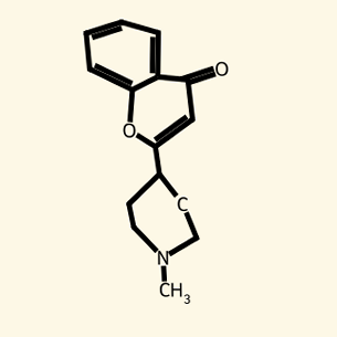 CN1CCC(c2cc(=O)c3ccccc3o2)CC1